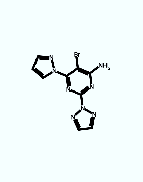 Nc1nc(-n2nccn2)nc(-n2cccn2)c1Br